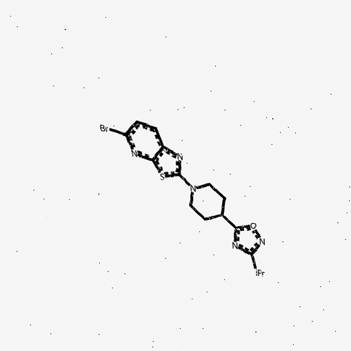 CC(C)c1noc(C2CCN(c3nc4ccc(Br)nc4s3)CC2)n1